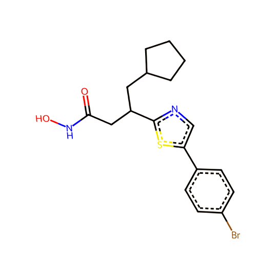 O=C(CC(CC1CCCC1)c1ncc(-c2ccc(Br)cc2)s1)NO